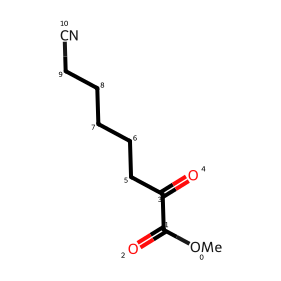 COC(=O)C(=O)CCCCCC#N